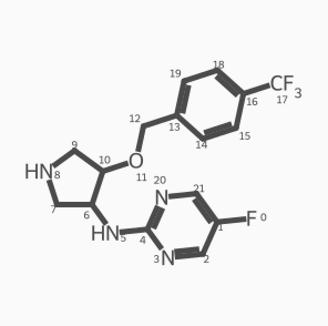 Fc1cnc(NC2CNCC2OCc2ccc(C(F)(F)F)cc2)nc1